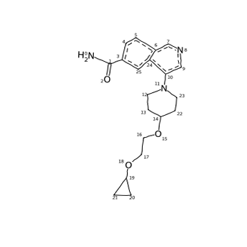 NC(=O)c1ccc2cncc(N3CCC(OCCOC4CC4)CC3)c2c1